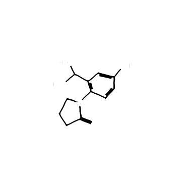 Cc1ccc(N2CCCC2=O)c(C(C)C)c1